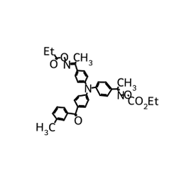 CCOC(=O)O/N=C(\C)c1ccc(N(c2ccc(C(=O)c3cccc(C)c3)cc2)c2ccc(C(C)=NOC(=O)CC)cc2)cc1